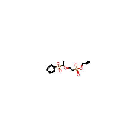 C#CCOS(=O)(=O)CCOC(C)S(=O)(=O)c1ccccc1